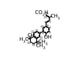 CC(C=Cc1ccc(O)c(-c2ccc3c(c2)C(C)(C)CCC3(C)C)c1)=CC(=O)O